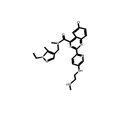 CCn1ncc(CN(C)C(=O)c2nc(-c3ccc(NCCNC)cn3)nc3ccc(Cl)cc23)c1C